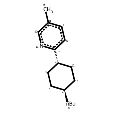 CCCC[C@H]1CC[C@H](c2ccc(C)cn2)CC1